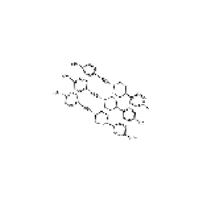 CCCc1ccc(C#C[C@H]2CC[C@H](c3ccc(C)cc3)CC2)cc1.CCCc1ccc(C#C[C@H]2CC[C@H](c3ccc(CC)cc3)CC2)cc1.CCCc1ccc(C#C[C@H]2CC[C@H](c3ccc(CCC)cc3)CC2)cc1